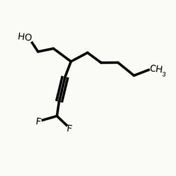 CCCCCC(C#CC(F)F)CCO